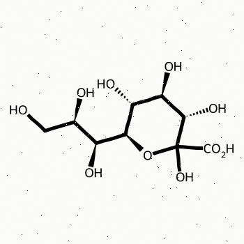 O=C(O)C1(O)O[C@@H]([C@@H](O)[C@H](O)CO)[C@H](O)[C@@H](O)[C@@H]1O